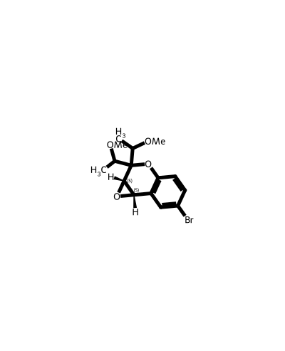 COC(C)C1(C(C)OC)Oc2ccc(Br)cc2[C@@H]2O[C@@H]21